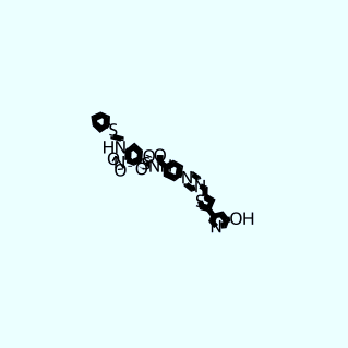 O=C(NS(=O)(=O)c1ccc(NCCSc2ccccc2)c([N+](=O)[O-])c1)c1ccc(N2CCN(Cc3cc(-c4cncc(O)c4)cs3)CC2)cc1